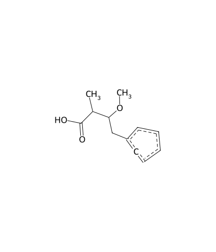 COC(Cc1ccccc1)C(C)C(=O)O